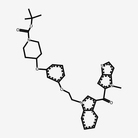 Cn1c(C(=O)c2cn(CCOc3cccc(OC4CCN(C(=O)OC(C)(C)C)CC4)c3)c3ccccc23)cc2sccc21